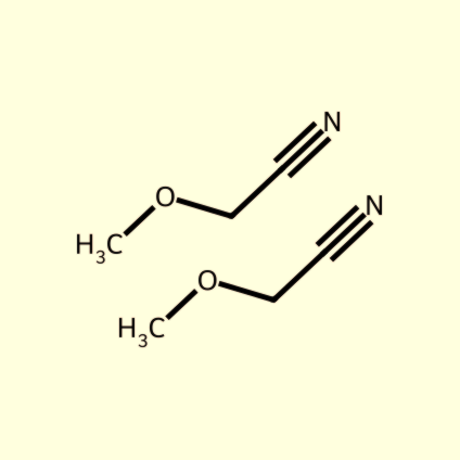 COCC#N.COCC#N